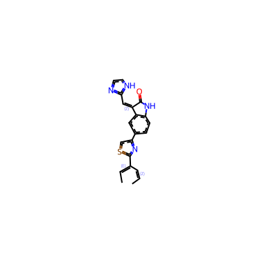 C/C=C\C(=C/C)c1nc(-c2ccc3c(c2)/C(=C/c2ncc[nH]2)C(=O)N3)cs1